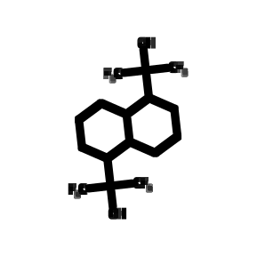 OC(C1CCCC2C1CCCC2C(O)(C(F)(F)F)C(F)(F)F)(C(F)(F)F)C(F)(F)F